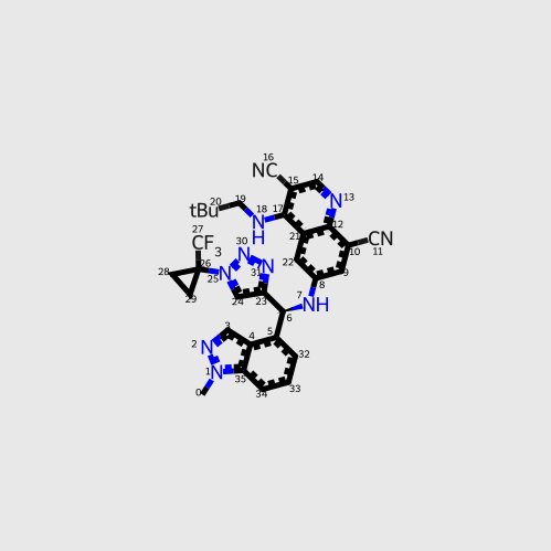 Cn1ncc2c([C@H](Nc3cc(C#N)c4ncc(C#N)c(NCC(C)(C)C)c4c3)c3cn(C4(C(F)(F)F)CC4)nn3)cccc21